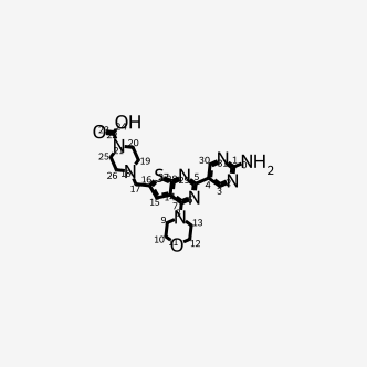 Nc1ncc(-c2nc(N3CCOCC3)c3cc(CN4CCN(C(=O)O)CC4)sc3n2)cn1